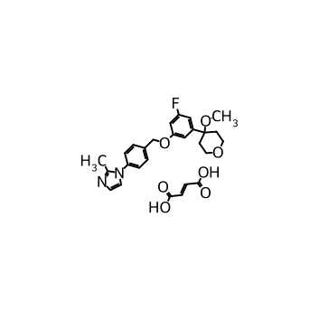 COC1(c2cc(F)cc(OCc3ccc(-n4ccnc4C)cc3)c2)CCOCC1.O=C(O)C=CC(=O)O